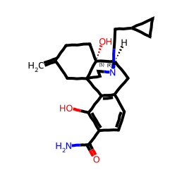 C=C1CC[C@@]2(O)[C@H]3Cc4ccc(C(N)=O)c(O)c4C2(CCN3CC2CC2)C1